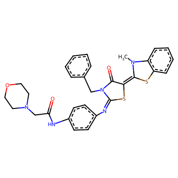 CN1C(=C2SC(=Nc3ccc(NC(=O)CN4CCOCC4)cc3)N(Cc3ccccc3)C2=O)Sc2ccccc21